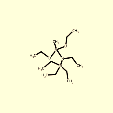 CCO[Si](C)(OCC)N(CC)[Si](CC)(CC)CC